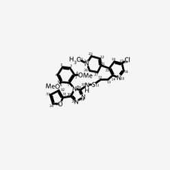 COc1cccc(OC)c1-n1c(NSCCc2ncc(Cl)cc2C2=CCN(C)CC2)nnc1-c1ccco1